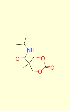 CC(C)NC(=O)C1(C)COC(=O)OC1